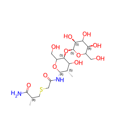 C[C@@H](CSCC(=O)N[C@@H]1OC(CO)[C@@H](O[C@@H]2OC(CO)[C@H](O)C(O)[C@@H]2O)C(O)[C@@H]1C)C(N)=O